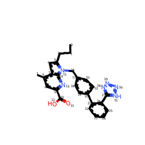 CCCc1cc2c(C)cc(C(=O)O)nc2n1Cc1ccc(-c2ccccc2-c2nnn[nH]2)cc1